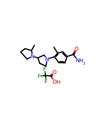 Cc1cc(C(N)=O)ccc1N1CCC(N2CCCC2C)C1.O=C(O)C(F)(F)F